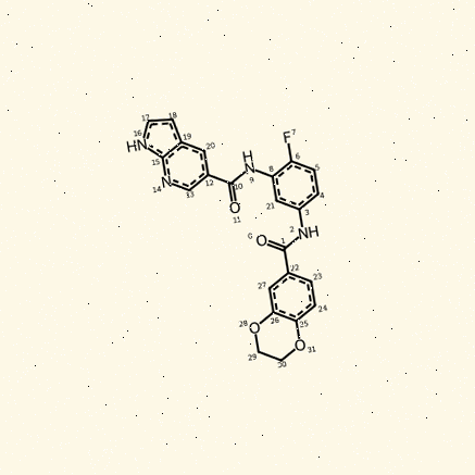 O=C(Nc1ccc(F)c(NC(=O)c2cnc3[nH]ccc3c2)c1)c1ccc2c(c1)OCCO2